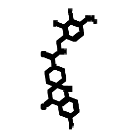 Nc1ccc(CNC(=O)N2CCC3(CC2)CC(=O)c2cc(F)ccc2N3)c(F)c1F